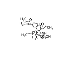 CCCCOc1c(C(NC(=O)O)C(C)(C)C)n(CC(C)C)c(=O)c2ccc(NC(=O)C(C)C)cc12